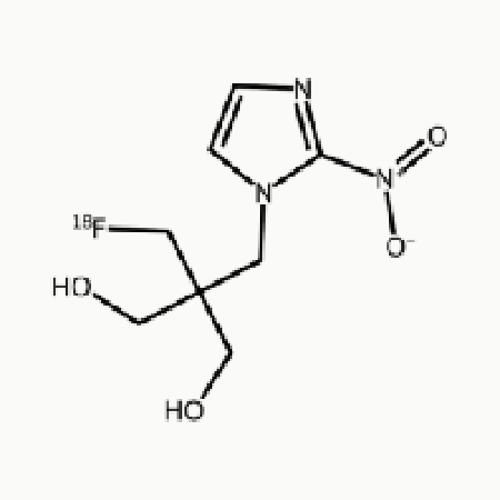 O=[N+]([O-])c1nccn1CC(CO)(CO)C[18F]